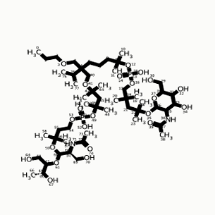 CCCOCC(CCCC(C)(C)OP(=O)(O)OCC(C)(C)CC(C)(C)OC1OC(CO)C(O)C(O)C1NC(C)=O)(COC(C)(C)CC(C)(C)OP(=O)(O)OCCC(C)(C)OC(OC(CO)[C@@H](C)O)[C@H](CO)NC(C)=O)C(C)C